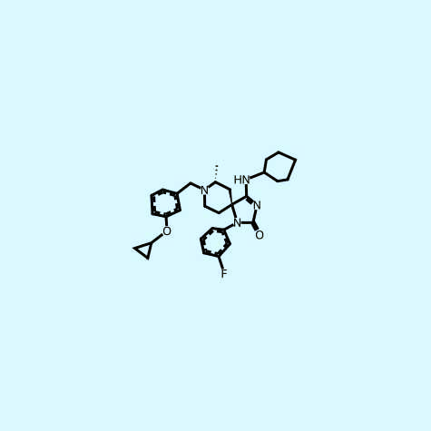 C[C@@H]1C[C@@]2(CCN1Cc1cccc(OC3CC3)c1)C(NC1CCCCC1)=NC(=O)N2c1cccc(F)c1